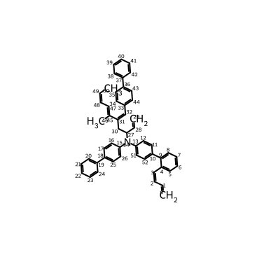 C=C/C=C\c1ccccc1-c1ccc(N(c2ccc(-c3ccccc3)cc2)C(C=C)CC(=C/c2ccc(-c3ccccc3)cc2)/C(C)=C/C=C\C)cc1